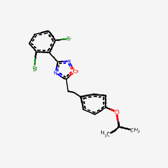 CC(C)Oc1ccc(Cc2nc(-c3c(Br)cccc3Br)no2)cc1